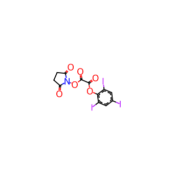 O=C(Oc1c(I)cc(I)cc1I)C(=O)ON1C(=O)CCC1=O